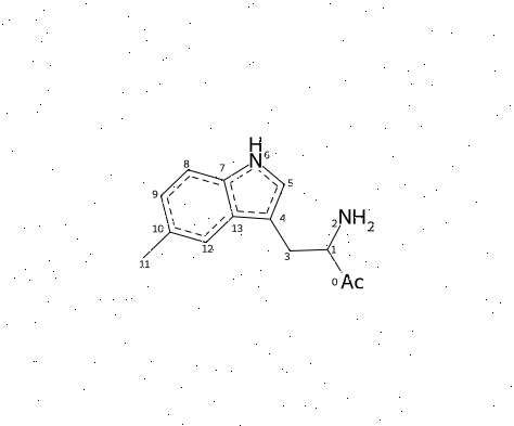 CC(=O)C(N)Cc1c[nH]c2ccc(C)cc12